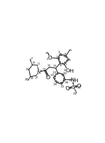 COc1cc(C)cc(O)c1C(CC(=O)N1CC(C)CC(C)C1)c1cccc(NS(C)(=O)=O)c1